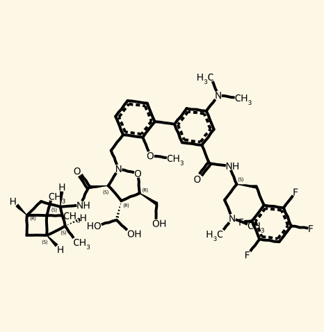 COc1c(CN2O[C@@H](CO)[C@H](C(O)O)[C@H]2C(=O)N[C@H]2C[C@H]3C[C@@H]([C@@H]2C)C3(C)C)cccc1-c1cc(C(=O)N[C@@H](Cc2c(F)c(F)cc(F)c2F)CN(C)C)cc(N(C)C)c1